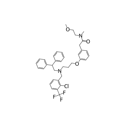 COCCN(C)C(=O)Cc1cccc(OCCCN(Cc2cccc(C(F)(F)F)c2Cl)CC(c2ccccc2)c2ccccc2)c1